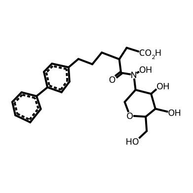 O=C(O)CC(CCCc1ccc(-c2ccccc2)cc1)C(=O)N(O)C1COC(CO)C(O)C1O